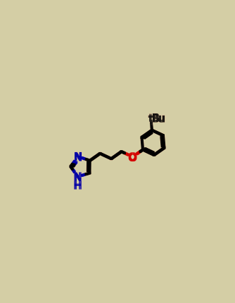 CC(C)(C)c1cccc(OCCCc2c[nH]cn2)c1